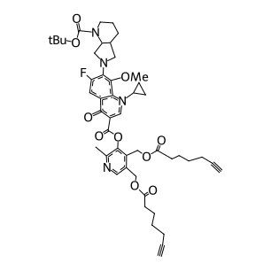 C#CCCCCC(=O)OCc1cnc(C)c(OC(=O)c2cn(C3CC3)c3c(OC)c(N4CC5CCCN(C(=O)OC(C)(C)C)C5C4)c(F)cc3c2=O)c1COC(=O)CCCCC#C